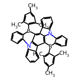 Cc1cc(C)c(B2c3ccccc3-n3c4ccccc4c4c5c6c(c2c43)c2ccccc2n6-c2ccccc2B5c2c(C)cc(C)cc2C)c(C)c1